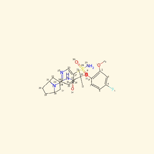 COc1cc(F)ccc1OC(C)(C)C(=O)NC1CC2CCC(C1)N2c1ccc(S(N)(=O)=O)cn1